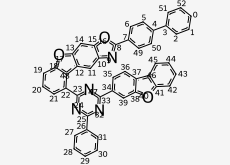 c1ccc(-c2ccc(-c3nc4cc5c(cc4o3)oc3cccc(-c4nc(-c6ccccc6)nc(-c6ccc7c(c6)oc6ccccc67)n4)c35)cc2)cc1